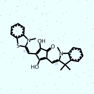 CN1/C(=C\C2=C(O)C(/C=C3/Sc4ccccc4N3C)=C(O)C2=O)C(C)(C)c2ccccc21